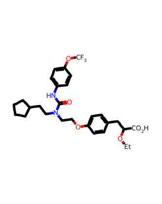 CCOC(Cc1ccc(OCCN(CCC2CCCC2)C(=O)Nc2ccc(OC(F)(F)F)cc2)cc1)C(=O)O